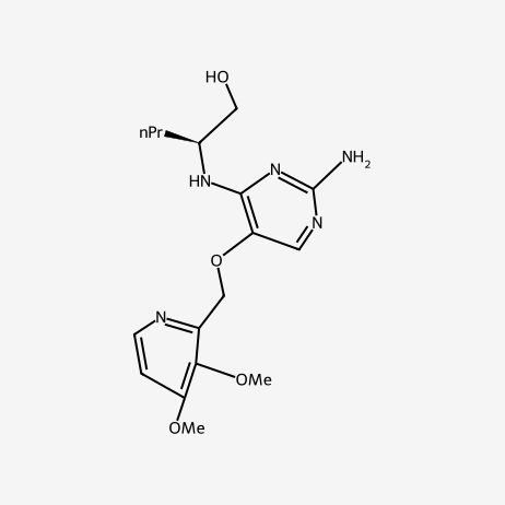 CCC[C@@H](CO)Nc1nc(N)ncc1OCc1nccc(OC)c1OC